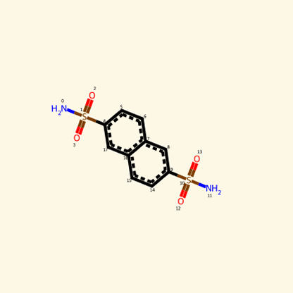 NS(=O)(=O)c1ccc2cc(S(N)(=O)=O)ccc2c1